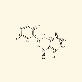 Cc1ccc(Cl)c(C2CC(=O)c3c(C)cnnc3C2)c1